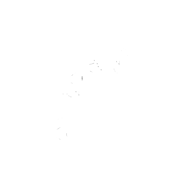 Cc1cccc(OCCCC(=O)N2CCCc3c(-c4cnn(C(C)(C)C(=O)N(C)CC(=O)O)c4)cccc32)c1C